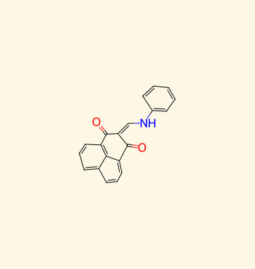 O=c1c(=CNc2ccccc2)c(=O)c2cccc3cccc1c32